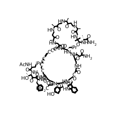 CC(=O)N[C@@H](CC(C)C)C(=O)N[C@H](C(=O)C(=O)[C@H](Cc1ccccc1)NN[C@]1(C)CCCCCC/C=C/CCC[C@@](C)(C(=O)CN[C@@H](C)C(=O)CCN[C@@H](C)C(=O)CCN[C@@H](C)C(=O)CCN[C@@H](C)C(=O)CNC(C)(C)C(=O)N[C@H](C)C(N)=O)NC(=O)[C@H](CC(C)C)NN[C@@H](CCC(N)=O)C(=O)CN[C@@H](C)C(=O)CC(=O)[C@H](Cc2c[nH]c3ccccc23)NN[C@@H](Cc2ccc(O)cc2)C(=O)N[C@@H](CCC(=O)O)C(=O)C1=O)[C@@H](C)O